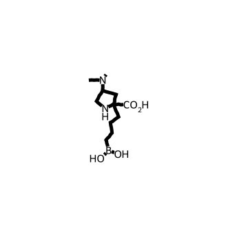 CN(C)C1CNC(CCCCB(O)O)(C(=O)O)C1